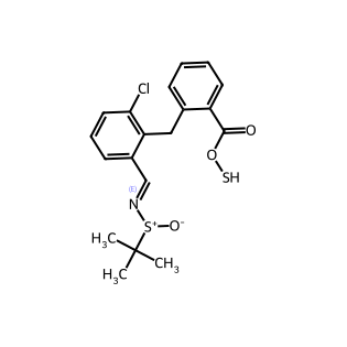 CC(C)(C)[S+]([O-])/N=C/c1cccc(Cl)c1Cc1ccccc1C(=O)OS